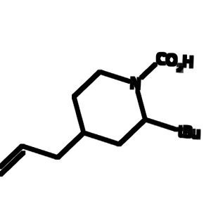 C=CCC1CCN(C(=O)O)C(C(C)(C)C)C1